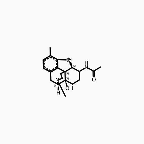 CC(=O)NC1CC[C@]2(O)[C@@H]3Cc4ccc(C)c5c4[C@]2(CCN3C)[C@@H]1O5